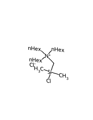 CCCCCC[N+](CCCCCC)(CCCCCC)C[Si](C)(C)Cl.[Cl-]